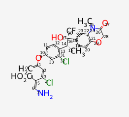 C=C(/C=C(Cl)\C(=C/N)C(=O)O)Oc1ccc([C@@H](C)[C@@](O)(c2ccc3c(c2)N(C)C(=O)CO3)C(F)(F)F)c(Cl)c1